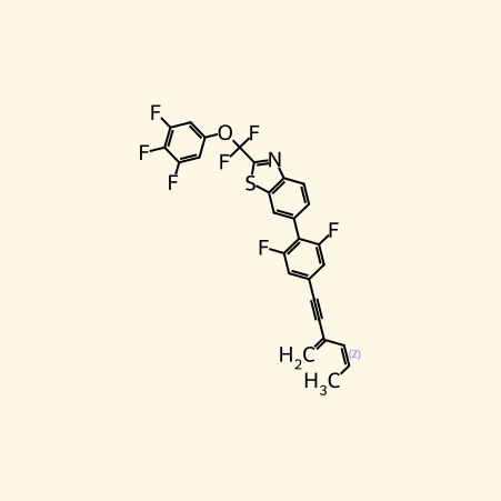 C=C(C#Cc1cc(F)c(-c2ccc3nc(C(F)(F)Oc4cc(F)c(F)c(F)c4)sc3c2)c(F)c1)/C=C\C